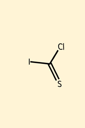 S=C(Cl)I